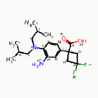 CC(C)CN(CC(C)C)c1ccc(C2(C(=O)O)CC(F)(F)C2)cc1N